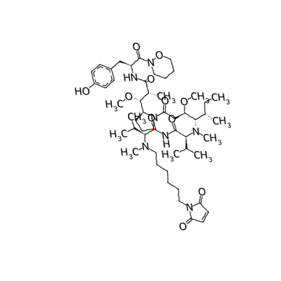 CC[C@H](C)[C@@H]([C@@H](CC(=O)N1CCC[C@H]1[C@H](OC)[C@@H](C)C(=O)N[C@@H](Cc1ccc(O)cc1)C(=O)N1CCCCO1)OC)N(C)[C@H](C(=O)NC(=O)[C@H](C(C)C)N(C)CCCCCCN1C(=O)C=CC1=O)C(C)C